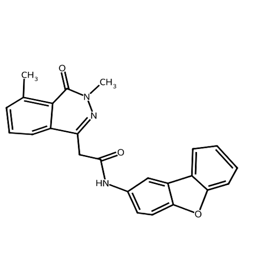 Cc1cccc2c(CC(=O)Nc3ccc4oc5ccccc5c4c3)nn(C)c(=O)c12